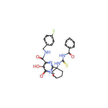 O=C(NC(=S)NC12CCC(CC1)Cn1c2nc(C(=O)NCc2ccc(F)cc2)c(O)c1=O)c1ccccc1